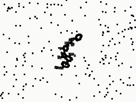 CNC1CC=C(c2cnc(N)c3c(-c4ccc(NC(=O)Nc5ccccc5)cc4F)nc(C(C)C)n23)CC1